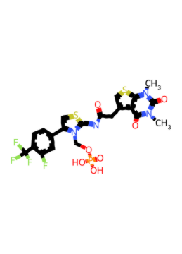 Cn1c(=O)c2c(CC(=O)/N=c3\scc(-c4ccc(C(F)(F)F)c(F)c4)n3COP(=O)(O)O)csc2n(C)c1=O